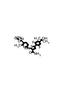 Cc1nc(Nc2sc(-c3c(F)cc(C(C)(C)O)cc3F)cc2C(N)=O)ccc1-c1n[nH]c(=O)o1